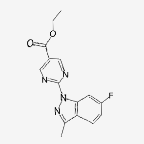 CCOC(=O)c1cnc(-n2nc(C)c3ccc(F)cc32)nc1